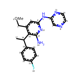 COCc1cc(Nc2cnccn2)nc(N)c1C(C)c1ccc(F)cc1